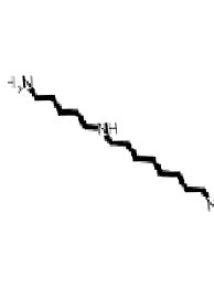 NCCCCCCCCNCCCCCN